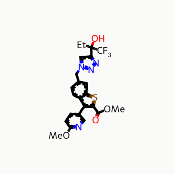 CCC(O)(c1cn(Cc2ccc3c(-c4ccc(OC)nc4)c(C(=O)OC)sc3c2)nn1)C(F)(F)F